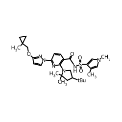 Cc1cn(C)cc1S(=O)(=O)NC(=O)c1ccc(-n2ccc(OCC3(C)CC3)n2)nc1N1CC(C(C)(C)C)CC1(C)C